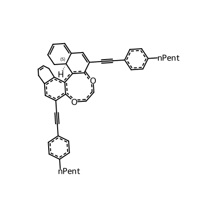 CCCCCc1ccc(C#CC2=CC3=CC=CC[C@@H]3c3c2occoc2c(C#Cc4ccc(CCCCC)cc4)cc4c(c32)CC=CC4)cc1